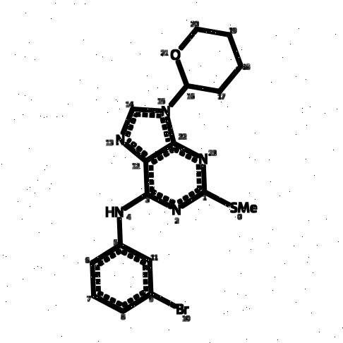 CSc1nc(Nc2cccc(Br)c2)c2ncn(C3CCCCO3)c2n1